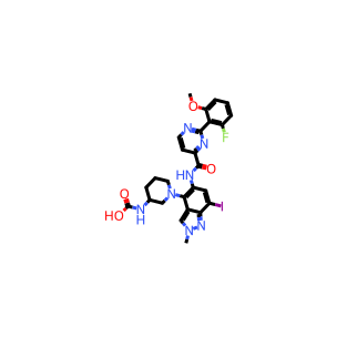 COc1cccc(F)c1-c1nccc(C(=O)Nc2cc(I)c3nn(C)cc3c2N2CCCC(NC(=O)O)C2)n1